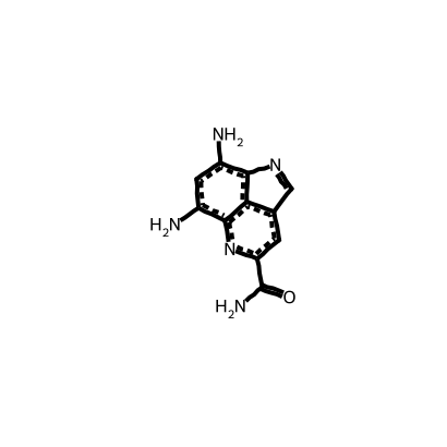 NC(=O)c1cc2c3c(c(N)cc(N)c3n1)N=C2